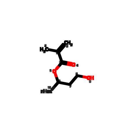 C=C(C)C(=O)OC(CCO)CCCCCC